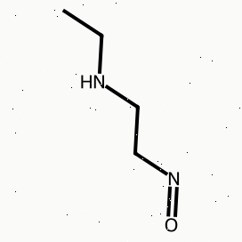 CCNCCN=O